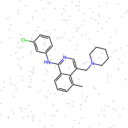 Cc1cccc2c(Nc3cccc(Cl)c3)ncc(CN3CCCCC3)c12